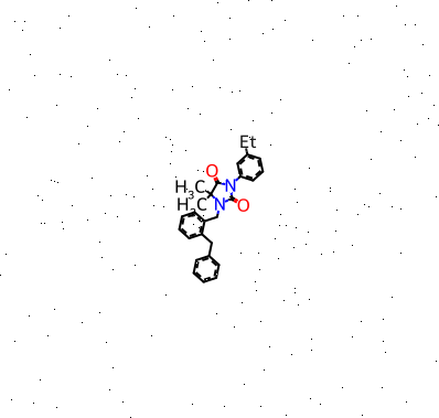 CCc1cccc(N2C(=O)N(Cc3ccccc3Cc3ccccc3)C(C)(C)C2=O)c1